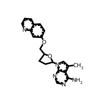 Cc1cn(C2CCC(COc3ccc4cccnc4c3)O2)c2ncnc(N)c12